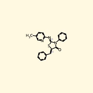 Cc1ccc(/N=C2\S/C(=C\c3ccccc3)C(=O)N2c2ccccc2)nc1